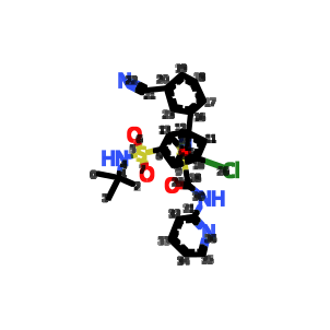 CC(C)(C)NS(=O)(=O)c1c2cccc1C21C(c2cccc(C#N)c2)=NC(Cl)=S1C(=O)Nc1ccccn1